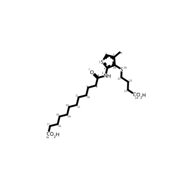 Cc1csc(NC(=O)CCCCCCCCCCC(=O)O)c1SCCCC(=O)O